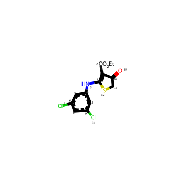 CCOC(=O)C1=C(Nc2cc(Cl)cc(Cl)c2)SCC1=O